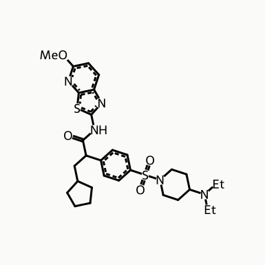 CCN(CC)C1CCN(S(=O)(=O)c2ccc(C(CC3CCCC3)C(=O)Nc3nc4ccc(OC)nc4s3)cc2)CC1